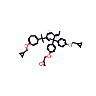 C=C(/C=C\C(=C/C)C(C)(c1ccc(OCC2CC2)cc1)c1ccc(OCC2CO2)cc1)C(C)(C)C1=CCC=C(OCC2CC2)C=C1